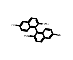 COc1ccc2cc(N=O)ccc2c1-c1c(OC)ccc2cc(N=O)ccc12